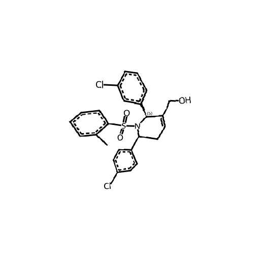 Cc1ccccc1S(=O)(=O)N1C(c2ccc(Cl)cc2)CC=C(CO)[C@@H]1c1cccc(Cl)c1